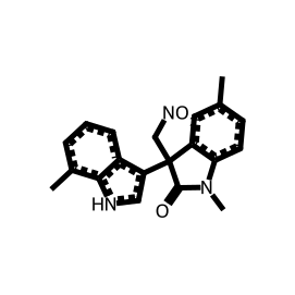 Cc1ccc2c(c1)C(C[N+](=O)[O-])(c1c[nH]c3c(C)cccc13)C(=O)N2C